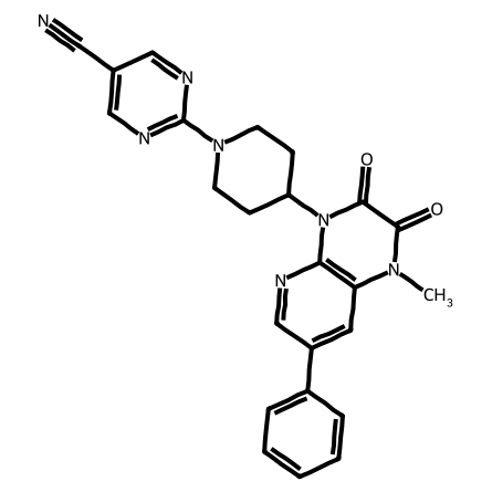 Cn1c(=O)c(=O)n(C2CCN(c3ncc(C#N)cn3)CC2)c2ncc(-c3ccccc3)cc21